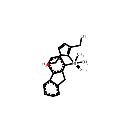 CCC1=[C]([Hf]([CH3])([CH3])(=[SiH2])[c]2cccc3c2Cc2ccccc2-3)C(CC)C=C1